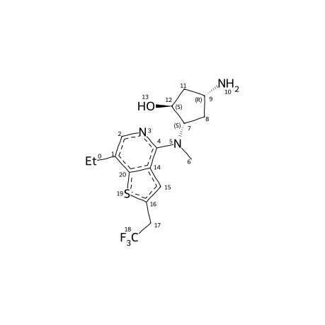 CCc1cnc(N(C)[C@H]2C[C@@H](N)C[C@@H]2O)c2cc(CC(F)(F)F)sc12